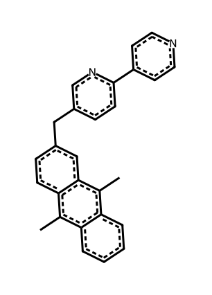 Cc1c2ccccc2c(C)c2cc(Cc3ccc(-c4ccncc4)nc3)ccc12